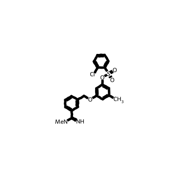 CNC(=N)c1cccc(COc2cc(C)cc(OS(=O)(=O)c3ccccc3Cl)c2)c1